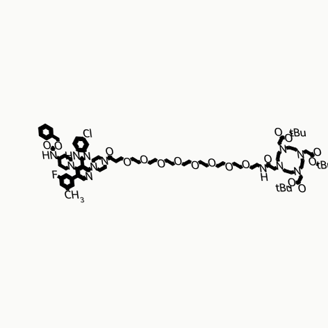 Cc1cc(F)cc(-c2cnc(N3CCN(C(=O)CCOCCOCCOCCOCCOCCOCCOCCOCCNC(=O)CN4CCN(CC(=O)OC(C)(C)C)CCN(CC(=O)OC(C)(C)C)CCN(CC(=O)OC(C)(C)C)CC4)CC3)c(-c3nc4cc(Cl)ccc4[nH]3)c2N2CCC(NC(=O)OCc3ccccc3)CC2)c1